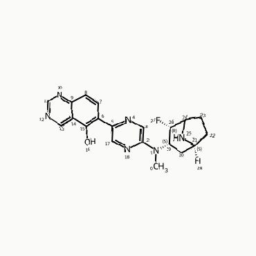 CN(c1cnc(-c2ccc3ncncc3c2O)cn1)[C@H]1C[C@@H]2CCC(N2)[C@H]1F